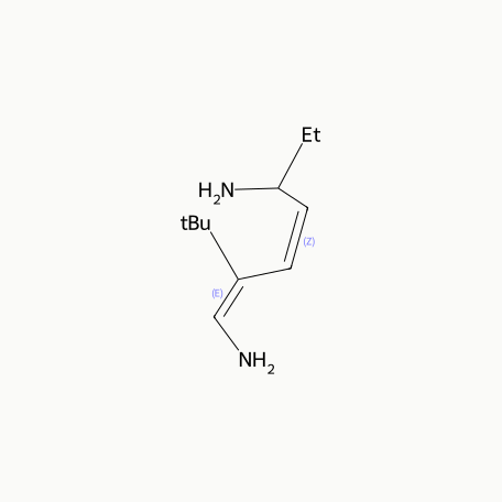 CCC(N)/C=C\C(=C/N)C(C)(C)C